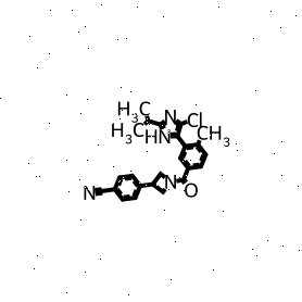 Cc1ccc(C(=O)N2CC(c3ccc(C#N)cc3)C2)cc1-c1[nH]c(C(C)C)nc1Cl